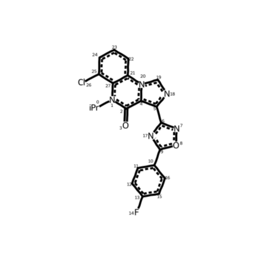 CC(C)n1c(=O)c2c(-c3noc(-c4ccc(F)cc4)n3)ncn2c2cccc(Cl)c21